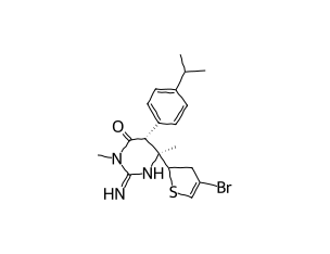 CC(C)c1ccc([C@H]2C(=O)N(C)C(=N)N[C@]2(C)C2CC(Br)=CS2)cc1